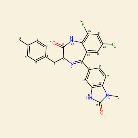 Cc1ccc(CC2N=C(c3ccc4c(c3)[nH]c(=O)n4C)c3cc(Cl)cc(F)c3NC2=O)cc1